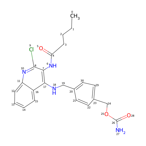 CCCCC(=O)Nc1c(Cl)nc2ccccc2c1NCc1ccc(COC(N)=O)cc1